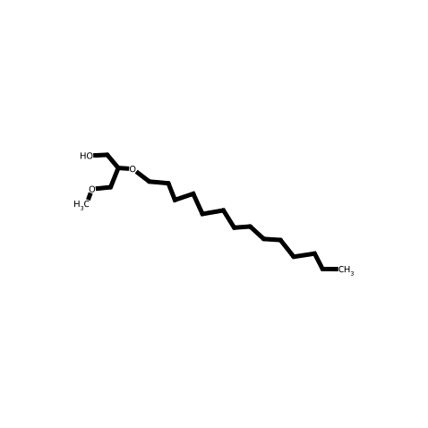 CCCCCCCCCCCCCCOC(CO)COC